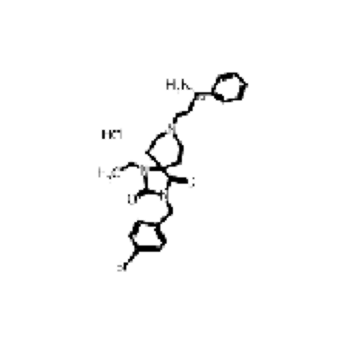 CCN1C(=O)N(Cc2ccc(Br)cc2)C(=O)C12CCN(CC[C@H](N)c1ccccc1)CC2.Cl